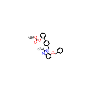 CCCCc1nc2cccc(OCc3ccccc3)c2n1Cc1ccc(-c2ccccc2OC(=O)OC(C)(C)C)cc1